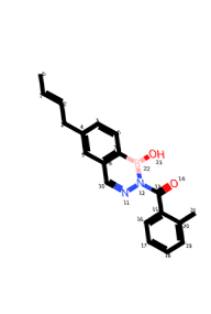 C/C=C/Cc1ccc2c(c1)C=NN(C(=O)c1ccccc1C)B2O